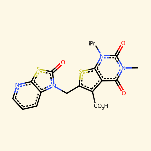 CC(C)n1c(=O)n(C)c(=O)c2c(C(=O)O)c(Cn3c(=O)sc4ncccc43)sc21